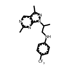 Cc1ncc2c(C)nn(C(C)CNc3ccc(C(F)(F)F)cc3)c2n1